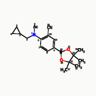 CC(=O)N(CC1CC1)c1ccc(B2OC(C)(C)C(C)(C)O2)cc1C#N